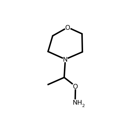 CC(ON)N1CCOCC1